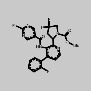 CC(C)c1ncc(C(=O)Nc2c(-c3ccccc3F)ccnc2C2CC(F)(F)CN2C(=O)OC(C)(C)C)cn1